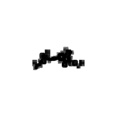 CC(F)CCOC(=O)NCC#Cc1ccc2c(c1)c(=O)c(C(=O)O)cn2N(C)C